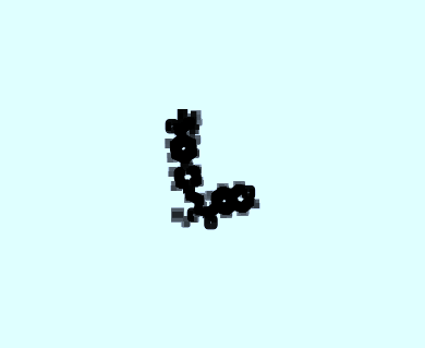 CN(CCN1CCN(c2ccc(C(=O)C(F)(F)F)cc2)CC1)C(=O)c1ccc2c(c1)CCOC2